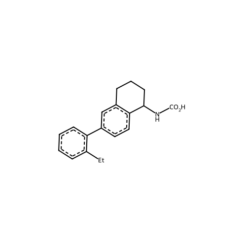 CCc1ccccc1-c1ccc2c(c1)CCCC2NC(=O)O